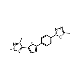 Cc1nnc(-c2ccc(-c3ccc(-c4n[nH]nc4C)s3)cc2)o1